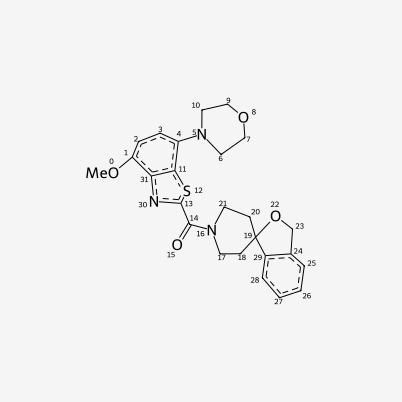 COc1ccc(N2CCOCC2)c2sc(C(=O)N3CCC4(CC3)OCc3ccccc34)nc12